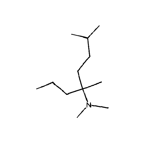 CCCC(C)(CCC(C)C)N(C)C